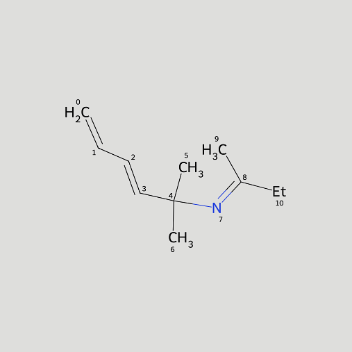 C=C/C=C/C(C)(C)/N=C(\C)CC